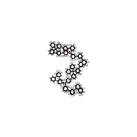 c1ccc(-c2ccccc2-c2ccc(N(c3ccc(-c4ccc5c(c4)C(c4ccccc4)(c4ccccc4)c4cc(-c6ccc7c(-c8cccc(-c9cccc(N(c%10ccc(-c%11ccc%12c(c%11)C(c%11ccccc%11)(c%11ccccc%11)c%11ccccc%11-%12)cc%10)c%10ccccc%10-c%10ccccc%10)c9)c8)cccc7c6)ccc4-5)cc3)c3cccc(-c4cccc(-c5cccc6ccccc56)c4)c3)cc2)cc1